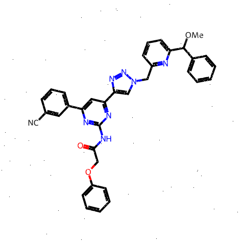 COC(c1ccccc1)c1cccc(Cn2cc(-c3cc(-c4cccc(C#N)c4)nc(NC(=O)COc4ccccc4)n3)nn2)n1